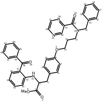 COC(=O)C(Cc1ccc(OCCCN(Cc2ccccc2)C(=O)c2cnccn2)cc1)Nc1ccccc1C(=O)c1ccccc1